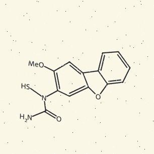 COc1cc2c(cc1N(S)C(N)=O)oc1ccccc12